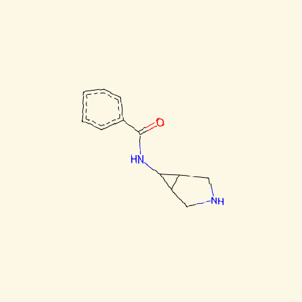 O=C(NC1C2CNCC21)c1ccccc1